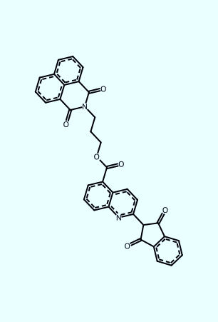 O=C(OCCCN1C(=O)c2cccc3cccc(c23)C1=O)c1cccc2nc(C3C(=O)c4ccccc4C3=O)ccc12